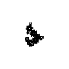 CSc1nn(-c2ncc(-c3cc(C)ccc3F)cn2)c2cc(C3CN(C=O)CCO3)ccc12